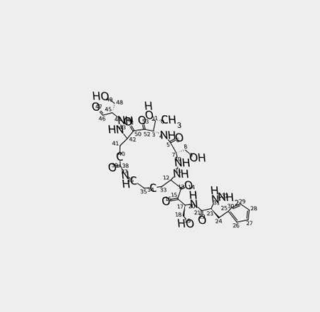 C[C@@H](O)[C@@H]1NC(=O)[C@H](CO)NNC(C(=O)C(=O)[C@H](CO)NC(=O)[C@H](Cc2ccccc2)NN)CCCCNC(=O)CCC(NN[C@H](C=O)CO)C(=O)C1=O